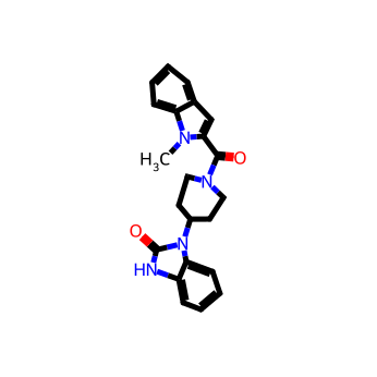 Cn1c(C(=O)N2CCC(n3c(=O)[nH]c4ccccc43)CC2)cc2ccccc21